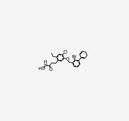 CCc1cc(Cl)c(OCc2cccc(C3=CCCC=C3)c2Br)cc1CCC(=O)NO